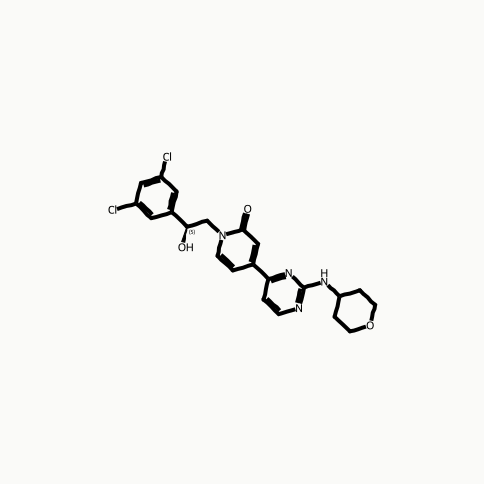 O=c1cc(-c2ccnc(NC3CCOCC3)n2)ccn1C[C@@H](O)c1cc(Cl)cc(Cl)c1